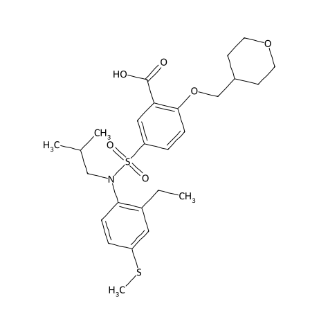 CCc1cc(SC)ccc1N(CC(C)C)S(=O)(=O)c1ccc(OCC2CCOCC2)c(C(=O)O)c1